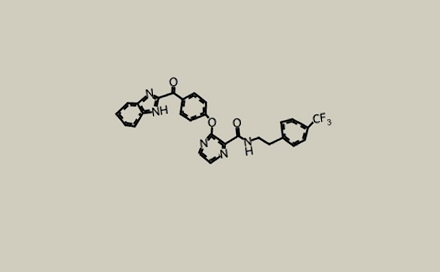 O=C(c1ccc(Oc2nccnc2C(=O)NCCc2ccc(C(F)(F)F)cc2)cc1)c1nc2ccccc2[nH]1